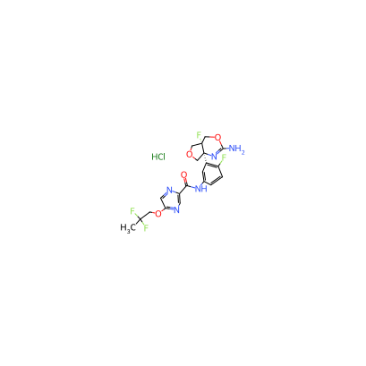 CC(F)(F)COc1cnc(C(=O)Nc2ccc(F)c([C@]34COC[C@@]3(F)COC(N)=N4)c2)cn1.Cl